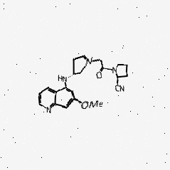 COc1cc(N[C@@H]2CCN(CC(=O)N3CCCC3C#N)C2)c2cccnc2c1